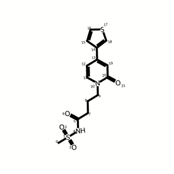 CS(=O)(=O)NC(=O)CCCn1ccc(-c2ccsc2)cc1=O